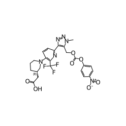 Cn1nnc(-c2ccc(N3CCC[C@H](CC(=O)O)C3)c(C(F)(F)F)n2)c1COC(=O)Oc1ccc([N+](=O)[O-])cc1